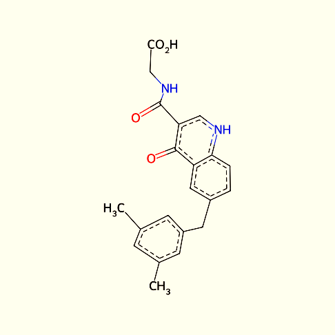 Cc1cc(C)cc(Cc2ccc3[nH]cc(C(=O)NCC(=O)O)c(=O)c3c2)c1